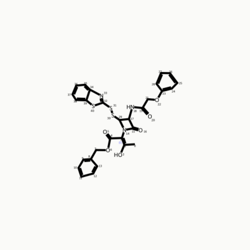 C/C(O)=C(/C(=O)OCc1ccccc1)N1C(=O)C(NC(=O)COc2ccccc2)C1SSc1nc2ccccc2s1